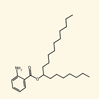 CCCCCCCCCCC(CCCCCCC)OC(=O)c1ccccc1N